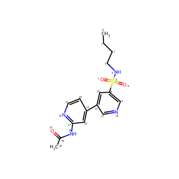 CCCCNS(=O)(=O)c1cncc(-c2ccnc(NC(C)=O)c2)c1